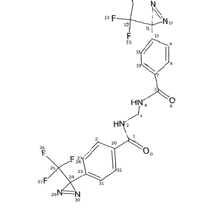 O=C(NCNC(=O)c1ccc(C2(C(F)(F)F)N=N2)cc1)c1ccc(C2(C(F)(F)F)N=N2)cc1